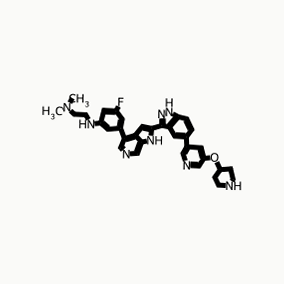 CN(C)CCNc1cc(F)cc(-c2cncc3[nH]c(-c4n[nH]c5ccc(-c6cncc(OC7CCNCC7)c6)cc45)cc23)c1